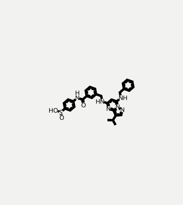 CC(C)c1cnn2c(NCc3ccccc3)cc(NCc3cccc(C(=O)Nc4ccc(S(=O)O)cc4)c3)nc12